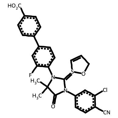 CC1(C)C(=O)N(c2ccc(C#N)c(Cl)c2)C(=S2C=CCO2)N1c1ccc(-c2ccc(C(=O)O)cc2)cc1F